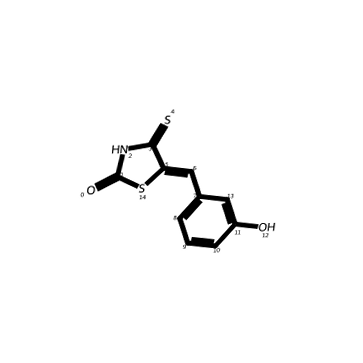 O=C1NC(=S)/C(=C/c2cccc(O)c2)S1